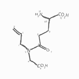 C=CCN(CC(=O)O)C(=O)CCC(N)C(=O)O